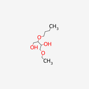 CCCCOC(CO)C(O)COCC